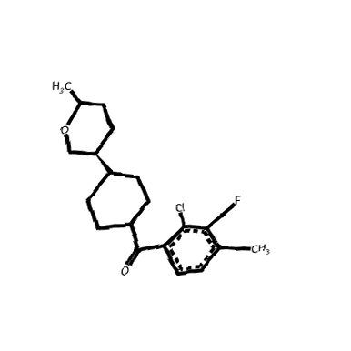 Cc1ccc(C(=O)C2CCC([C@@H]3CCC(C)OC3)CC2)c(Cl)c1F